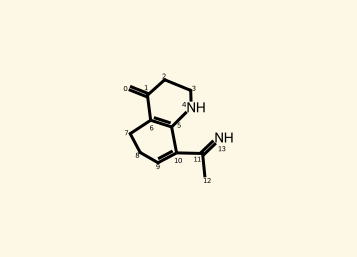 C=C1CCNC2=C1CCC=C2C(C)=N